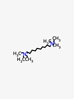 CC[N+](C)(C)CCCCCCCCCC[N+](CC)(CC)CC